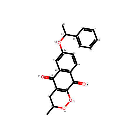 CC1CC2=C(OO1)C(=O)c1ccc(OC(C)c3ccccc3)cc1C2=O